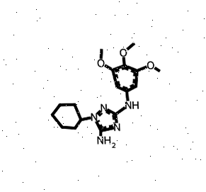 COc1cc(Nc2nc(N)n(C3CCCCC3)n2)cc(OC)c1OC